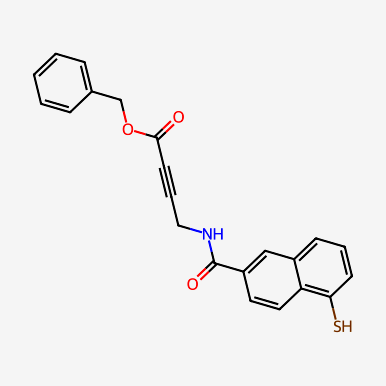 O=C(C#CCNC(=O)c1ccc2c(S)cccc2c1)OCc1ccccc1